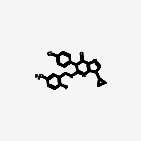 O=c1c2ncn(C3CC3)c2nc(SCc2cc(C(F)(F)F)ccc2F)n1-c1ccc(Cl)cc1